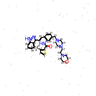 Cc1ccsc1C(=O)Nc1cc(CN2CCN(CCN3CCOCC3)CC2)ccc1C=Cc1n[nH]c2ccccc12